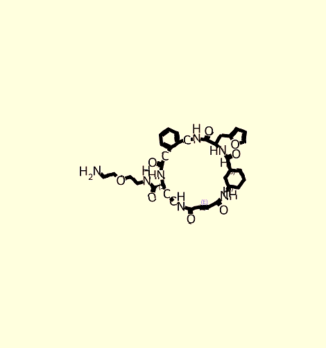 NCCOCCNC(=O)[C@@H]1CCNC(=O)/C=C/C(=O)N[C@H]2CCC[C@@H](C2)C(=O)NC(Cc2ccco2)C(=O)NCc2ccccc2CC(=O)N1